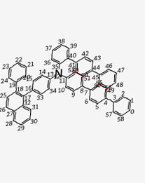 c1ccc(-c2ccc(-c3ccc(N(c4ccc(-c5c(-c6ccccc6)ccc6ccccc56)cc4)c4ccccc4-c4ccc(-c5ccccc5)cc4)cc3)cc2)cc1